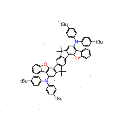 CC(C)(C)c1ccc(N(c2ccc(C(C)(C)C)cc2)c2cc3c(c4oc5ccccc5c24)-c2cc4c(cc2C3(C)C)-c2c(cc(N(c3ccc(C(C)(C)C)cc3)c3ccc(C(C)(C)C)cc3)c3c2oc2ccccc23)C4(C)C)cc1